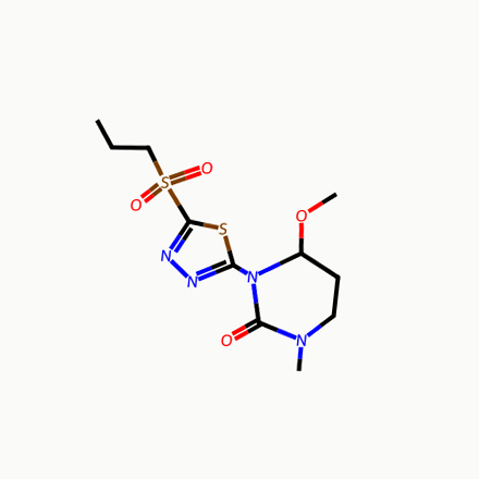 CCCS(=O)(=O)c1nnc(N2C(=O)N(C)CCC2OC)s1